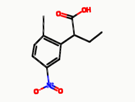 CCC(C(=O)O)c1cc([N+](=O)[O-])ccc1C